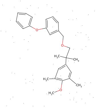 COc1c(C)cc(C(C)(C)COCc2cccc(Oc3ccccc3)c2)cc1C